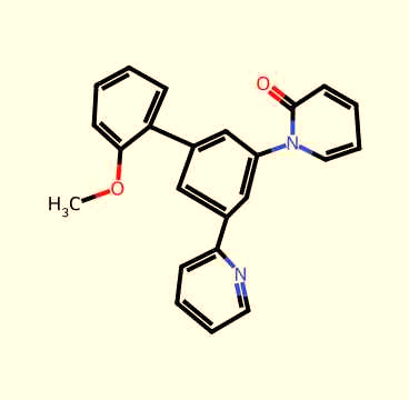 COc1ccccc1-c1cc(-c2ccccn2)cc(-n2ccccc2=O)c1